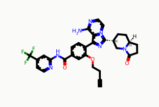 C#CCCOc1cc(C(=O)Nc2cc(C(F)(F)F)ccn2)ccc1-c1nc([C@@H]2CC[C@H]3CCC(=O)N3C2)n2ccnc(N)c12